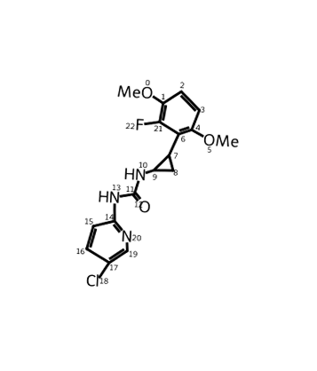 COc1ccc(OC)c(C2CC2NC(=O)Nc2ccc(Cl)cn2)c1F